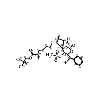 CS(=O)(=O)OC(C(F)c1ccccc1)C(OS(C)(=O)=O)C1C2CC(=O)[C@@H](CCCCCC(F)C(=O)OCC(Cl)(Cl)Cl)C21